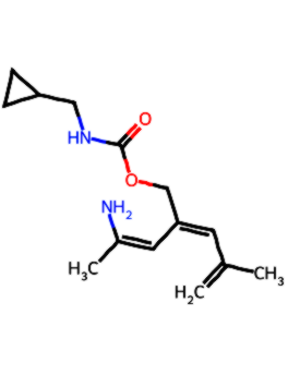 C=C(C)/C=C(\C=C(\C)N)COC(=O)NCC1CC1